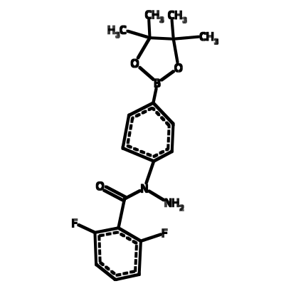 CC1(C)OB(c2ccc(N(N)C(=O)c3c(F)cccc3F)cc2)OC1(C)C